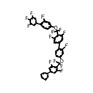 Fc1cc(OC(F)(F)c2c(F)cc(-c3ccc(OC(F)(F)c4c(F)cc(-c5ccccc5)cc4F)cc3F)cc2F)ccc1-c1cc(F)c(F)c(F)c1